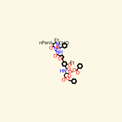 CCCCCC(C(=O)NCNC(=O)c1ccc(-c2ccc(C(=O)NC(CC(=O)OCc3ccccc3)C(=O)OCOC(=O)c3ccccc3)c(OCC)c2)o1)C(CC)N(C=O)OCc1ccccc1